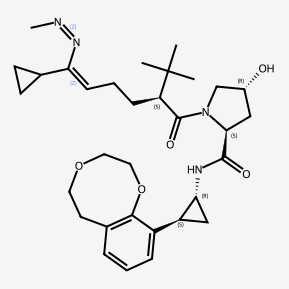 C/N=N\C(=C/CC[C@H](C(=O)N1C[C@H](O)C[C@H]1C(=O)N[C@@H]1C[C@H]1c1cccc2c1OCCOCC2)C(C)(C)C)C1CC1